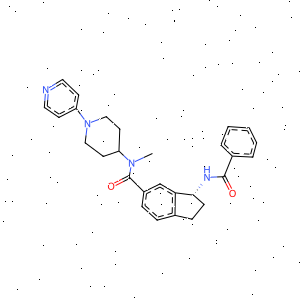 CN(C(=O)c1ccc2c(c1)[C@H](NC(=O)c1ccccc1)CC2)C1CCN(c2ccncc2)CC1